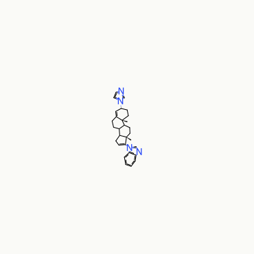 C[C@]12CC[C@@H](n3ccnc3)C=C1CCC1C2CC[C@]2(C)C(n3cnc4ccccc43)=CCC12